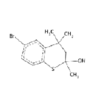 CC1(O)CC(C)(C)c2cc(Br)ccc2S1